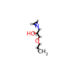 C=CCOCC(O)CN1CC1